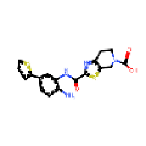 Nc1ccc(-c2cccs2)cc1NC(=O)c1nc2c(s1)CN(C(=O)O)CC2